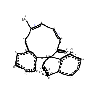 C=C1/C=C\C=C(\Br)Cc2ccccc2C12c1ccccc1-c1ccccc12